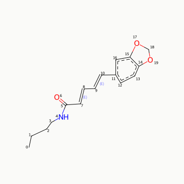 CCCCNC(=O)/C=C/C=C/c1ccc2c(c1)OCO2